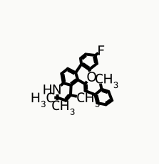 CC1=CC(C)(C)Nc2ccc3c(c21)/C(=C/c1ccccc1C)Oc1cc(F)ccc1-3